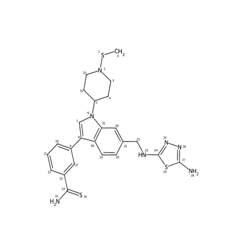 CSN1CCC(n2cc(-c3cccc(C(N)=S)c3)c3ccc(CNc4nnc(N)s4)cc32)CC1